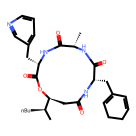 CCCC[C@H](C)[C@@H]1CC(=O)N[C@@H](CC2=CCCC=C2)C(=O)N[C@@H](C)C(=O)N[C@@H](Cc2cccnc2)C(=O)O1